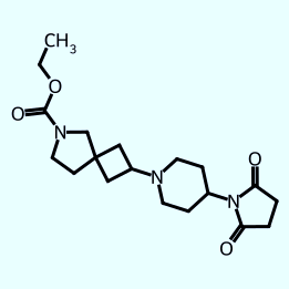 CCOC(=O)N1CCC2(CC(N3CCC(N4C(=O)CCC4=O)CC3)C2)C1